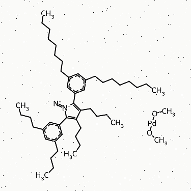 CCCCCCCCc1cc(CCCCCCCC)cc(C2=C(CCCC)C(CCCC)=C(c3cc(CCCC)cc(CCCC)c3)[N+]2=[N-])c1.C[O][Pd][O]C